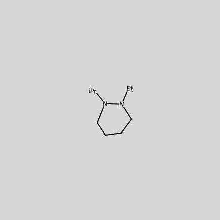 CCN1CCCCN1C(C)C